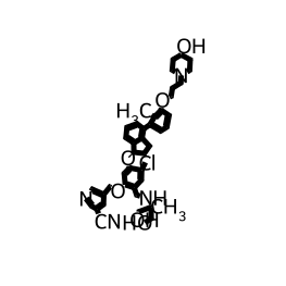 Cc1c(OCCCN2CCC(O)CC2)cccc1-c1cccc2c1CC[C@@H]2Oc1cc(OCc2cncc(C#N)c2)c(CNC(C)(CO)CO)cc1Cl